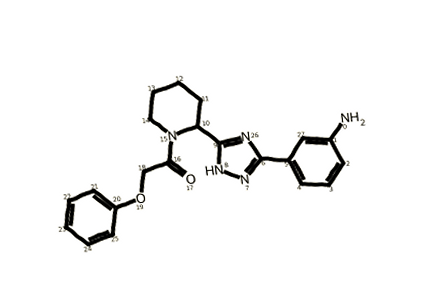 Nc1cccc(-c2n[nH]c(C3CCCCN3C(=O)COc3ccccc3)n2)c1